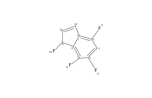 Fc1cc(F)c2c(c1F)C(F)[C]=C2